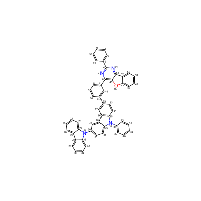 c1ccc(-c2nc(-c3cccc(-c4ccc5c(c4)c4cc(-n6c7ccccc7c7ccccc76)ccc4n5-c4ccccc4)c3)c3oc4ccccc4c3n2)cc1